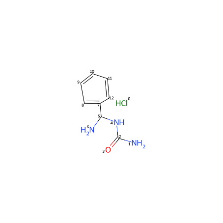 Cl.NC(=O)NC(N)c1ccccc1